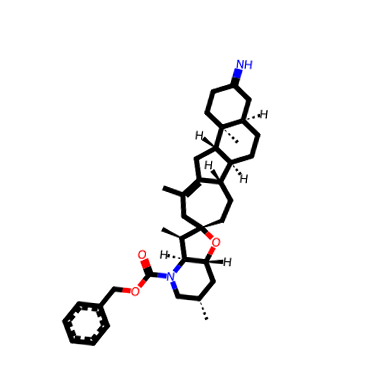 CC1=C2C[C@H]3[C@@H](CC[C@@H]4CC(=N)CC[C@@]43C)[C@@H]2CC[C@@]2(C1)O[C@@H]1C[C@H](C)CN(C(=O)OCc3ccccc3)[C@H]1[C@H]2C